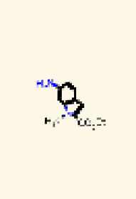 CCOC(=O)c1cc2ccc(N)cc2n1C